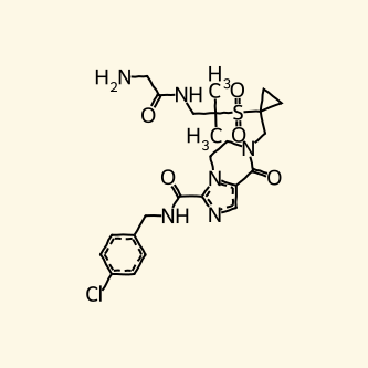 CC(C)(CNC(=O)CN)S(=O)(=O)C1(CN2CCn3c(cnc3C(=O)NCc3ccc(Cl)cc3)C2=O)CC1